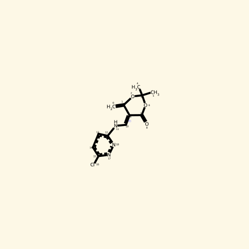 C=C1OC(C)(C)OC(=O)/C1=C/Nc1ccc(Cl)nn1